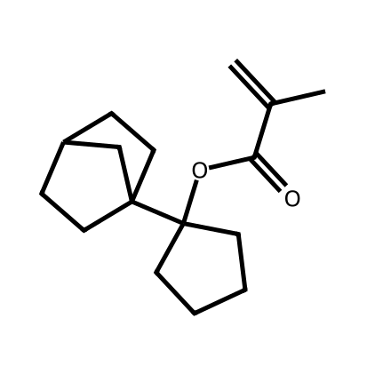 C=C(C)C(=O)OC1(C23CCC(CC2)C3)CCCC1